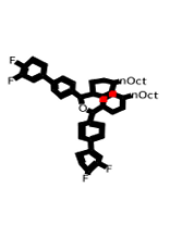 CCCCCCCCC1CCC(C(OC(c2ccc(-c3ccc(F)c(F)c3)cc2)C2CCC(CCCCCCCC)CC2)c2ccc(-c3ccc(F)c(F)c3)cc2)CC1